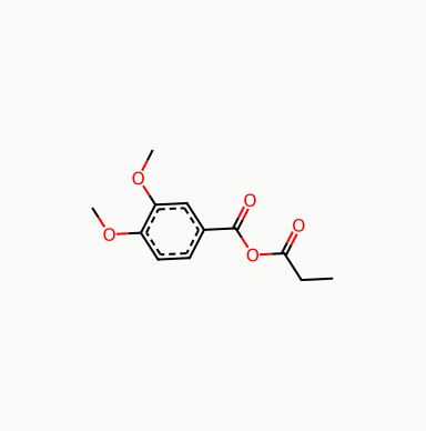 CCC(=O)OC(=O)c1ccc(OC)c(OC)c1